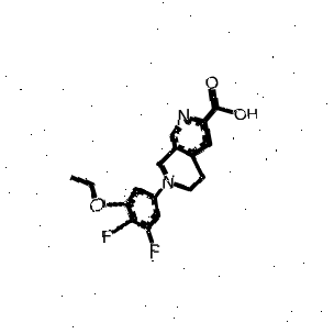 CCOc1cc(N2CCc3cc(C(=O)O)ncc3C2)cc(F)c1F